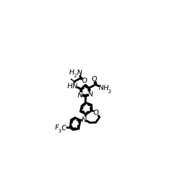 C[C@H](Nc1cc(C(N)=O)nc(-c2ccc3c(c2)OCCCN3c2ccc(C(F)(F)F)cc2)n1)C(N)=O